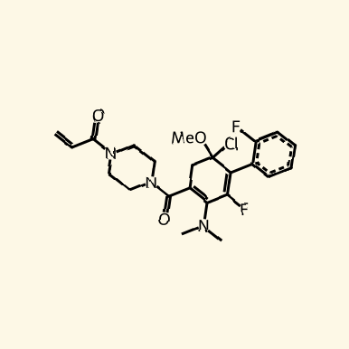 C=CC(=O)N1CCN(C(=O)C2=C(N(C)C)C(F)=C(c3ccccc3F)C(Cl)(OC)C2)CC1